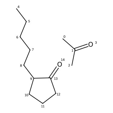 CC(C)=O.CCCCCC1CCCC1=O